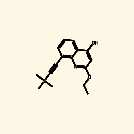 CCOc1cc(O)c2cccc(C#C[Si](C)(C)C)c2n1